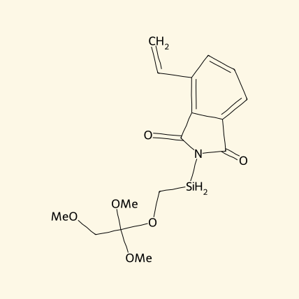 C=Cc1cccc2c1C(=O)N([SiH2]COC(COC)(OC)OC)C2=O